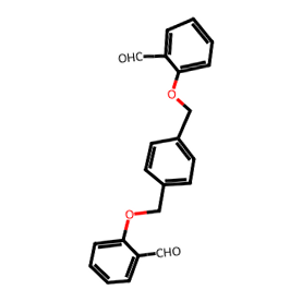 O=Cc1ccccc1OCc1ccc(COc2ccccc2C=O)cc1